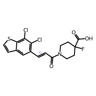 O=C(/C=C/c1cc2ccsc2c(Cl)c1Cl)N1CCC(F)(C(=O)O)CC1